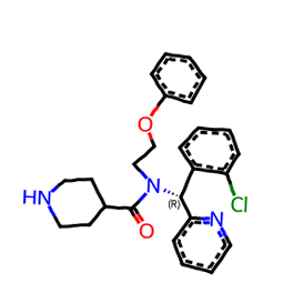 O=C(C1CCNCC1)N(CCOc1ccccc1)[C@@H](c1ccccn1)c1ccccc1Cl